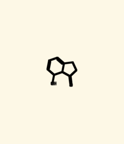 O=C1CCC2=CC=CC(O)C12